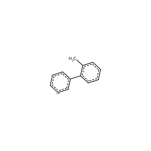 Cc1ccccc1-c1c[c]cnc1